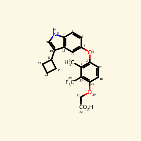 Cc1c(Oc2ccc3[nH]cc(C4CCC4)c3c2)ccc(OCC(=O)O)c1C(F)(F)F